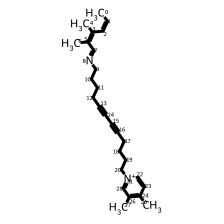 C\C=C/C(C)=C(C)\C=N\CCCCC#CC#CCCCC[n+]1ccc(C)c(C)c1